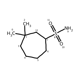 CC1(C)CCCCC(S(N)(=O)=O)C1